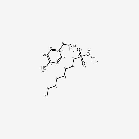 CCCCCCCCS(=O)(=O)OF.NCc1ccc(S)cc1